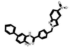 Nc1ccc(-c2ccccc2)cc1NC(=O)c1ccc(Cn2cc3cc([N+](=O)[O-])ccc3n2)cc1